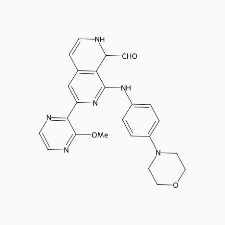 COc1nccnc1-c1cc2c(c(Nc3ccc(N4CCOCC4)cc3)n1)C(C=O)NC=C2